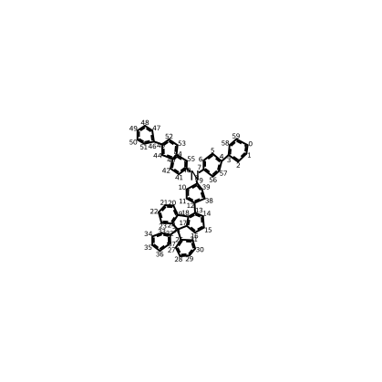 c1ccc(-c2ccc(N(c3ccc(-c4cccc5c4-c4ccccc4C5(c4ccccc4)c4ccccc4)cc3)c3ccc4cc(-c5ccccc5)ccc4c3)cc2)cc1